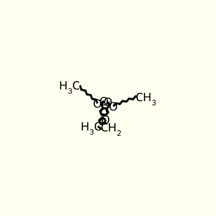 C=CC.CCCCCCCCOC(=O)c1ccccc1C(=O)OCCCCCCCC.c1ccoc1